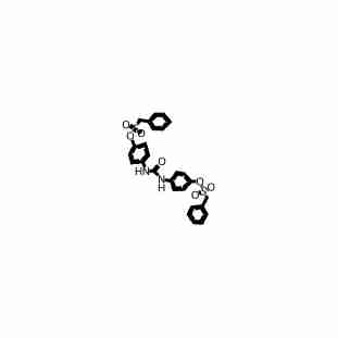 O=C(Nc1ccc(OS(=O)(=O)Cc2ccccc2)cc1)Nc1ccc(OS(=O)(=O)Cc2ccccc2)cc1